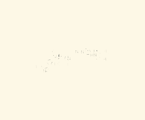 Cc1ncsc1-c1ccc(CNC(=O)[C@@H]2CCCN2C(=O)[C@H](c2cc(CCCN3CCN(c4ccc(C(=O)NC5C(C)(C)CC5(C)C)cn4)CC3)no2)C(C)C)cc1